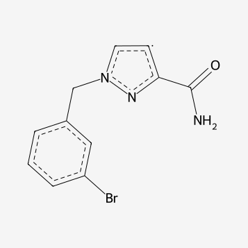 NC(=O)c1[c]cn(Cc2cccc(Br)c2)n1